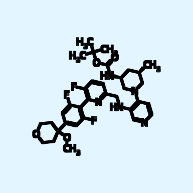 COC1(c2cc(F)c(-c3nc(CNc4cnccc4N4C[C@H](C)C[C@H](NC(=O)OC(C)(C)C)C4)ccc3F)c(F)c2)CCOCC1